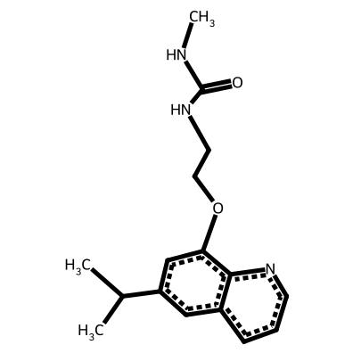 CNC(=O)NCCOc1cc(C(C)C)cc2cccnc12